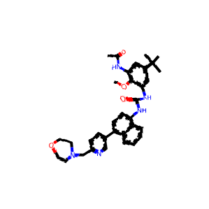 COc1c(NC(C)=O)cc(C(C)(C)C)cc1NC(=O)Nc1ccc(-c2ccc(CN3CCOCC3)nc2)c2ccccc12